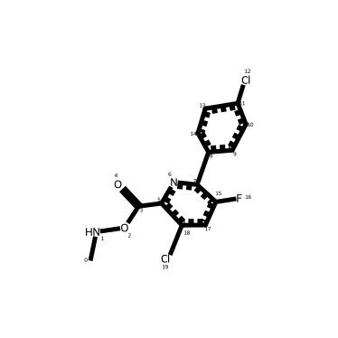 CNOC(=O)c1nc(-c2ccc(Cl)cc2)c(F)cc1Cl